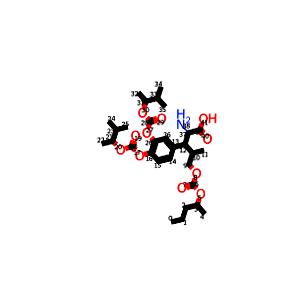 CCCC(C)OC(=O)OCC(C)C(c1ccc(OC(=O)OC(C)C(C)C)c(OC(=O)OC(C)C(C)C)c1)[C@H](N)C(=O)O